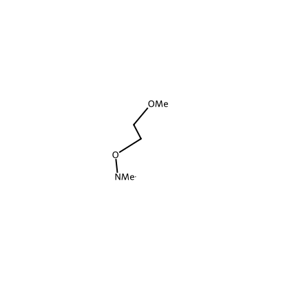 C[N]OCCOC